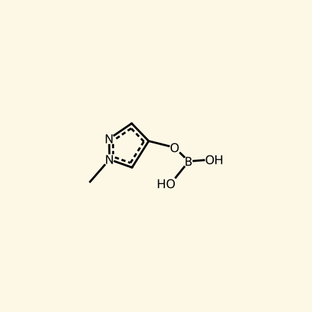 Cn1cc(OB(O)O)cn1